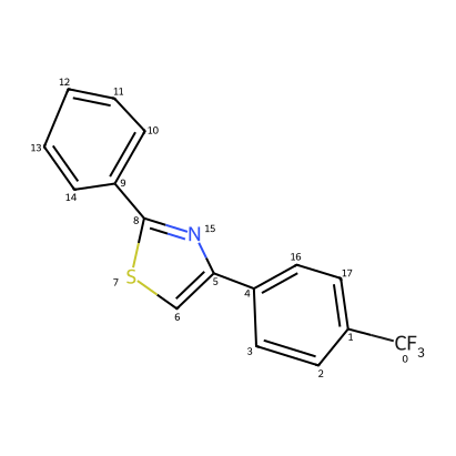 FC(F)(F)c1ccc(-c2csc(-c3ccccc3)n2)cc1